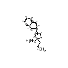 C=CCC1(CN)CCN(c2ccc3cccnc3c2)C1